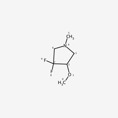 COC1CN(C)CC1(F)F